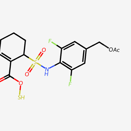 CC(=O)OCc1cc(F)c(NS(=O)(=O)C2CCCC=C2C(=O)OS)c(F)c1